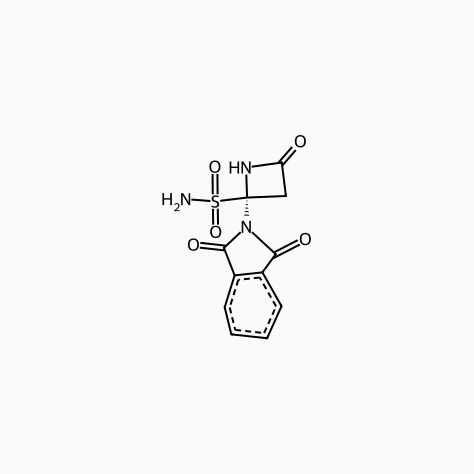 NS(=O)(=O)[C@]1(N2C(=O)c3ccccc3C2=O)CC(=O)N1